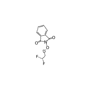 O=C1c2ccccc2C(=O)N1OOCC(F)F